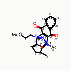 COCCNC1=C(N(CC2=C\CC(C)/C=C/N=C\2)C(C)=O)C(=O)c2ccccc2C1=O